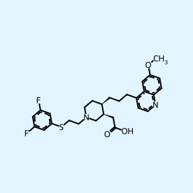 COc1ccc2nccc(CCC[C@@H]3CCN(CCSc4cc(F)cc(F)c4)C[C@@H]3CC(=O)O)c2c1